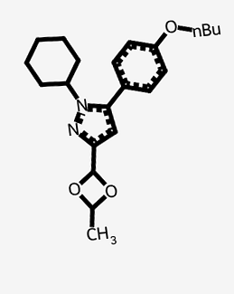 CCCCOc1ccc(-c2cc(C3OC(C)O3)nn2C2CCCCC2)cc1